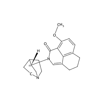 COc1ccc2c3c(cn([C@@H]4CN5CCC4CC5)c(=O)c13)CCC2